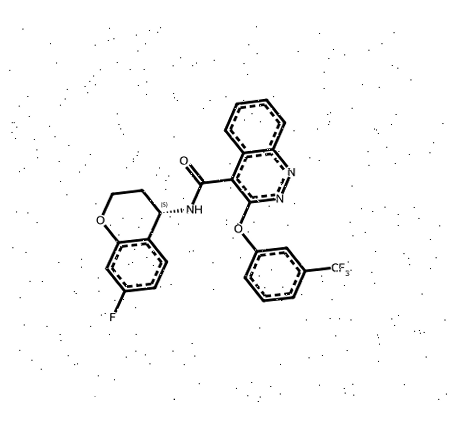 O=C(N[C@H]1CCOc2cc(F)ccc21)c1c(Oc2cccc(C(F)(F)F)c2)nnc2ccccc12